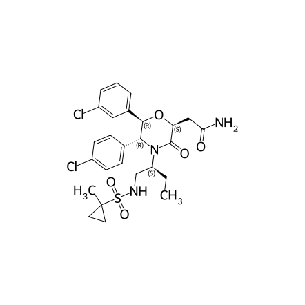 CC[C@@H](CNS(=O)(=O)C1(C)CC1)N1C(=O)[C@H](CC(N)=O)O[C@H](c2cccc(Cl)c2)[C@H]1c1ccc(Cl)cc1